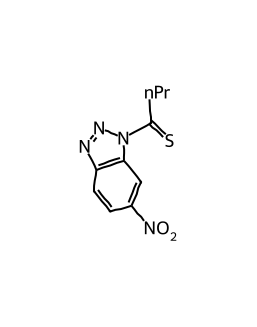 CCCC(=S)n1nnc2ccc([N+](=O)[O-])cc21